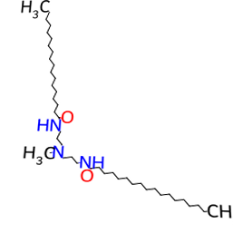 CCCCCCCCCCCCCCCCCC(=O)NCCCN(C)CCCNC(=O)CCCCCCCCCCCCCCCCC